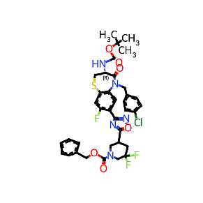 CC(C)(C)OC(=O)N[C@H]1CSc2cc(F)c(-c3noc(C4CN(C(=O)OCc5ccccc5)CC(F)(F)C4)n3)cc2N(Cc2ccc(Cl)cc2)C1=O